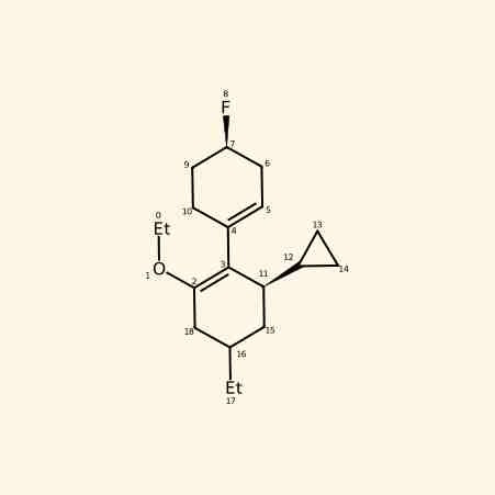 CCOC1=C(C2=CC[C@H](F)CC2)[C@@H](C2CC2)CC(CC)C1